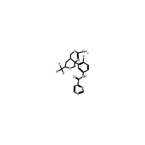 NC1=NC2(c3cc(NC(=O)c4ccncn4)ccc3F)COC(C(F)(F)F)CC2CS1